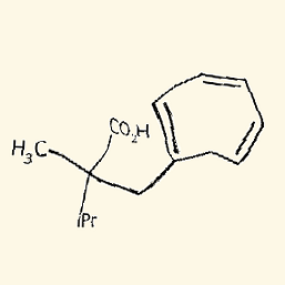 CC(C)C(C)(Cc1ccccc1)C(=O)O